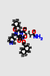 NC(=O)CC[C@@H]1ON(C(=O)OCc2cccc3ccccc23)[C@H]2CN(Cc3ccncc3)C(=O)[C@H](Cc3ccccc3)N2C1=O